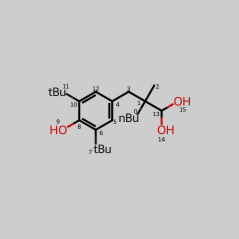 CCCCC(C)(Cc1cc(C(C)(C)C)c(O)c(C(C)(C)C)c1)C(O)O